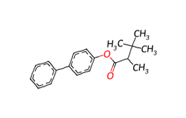 CC(C(=O)Oc1ccc(-c2ccccc2)cc1)C(C)(C)C